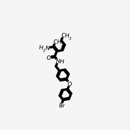 CC/C=C\C(C(=O)NCc1ccc(Oc2ccc(Br)cc2)cc1)=C(/C)N